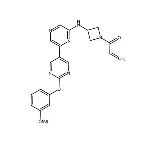 C=CC(=O)N1CC(Nc2cncc(-c3cnc(Oc4cccc(OC)c4)nc3)n2)C1